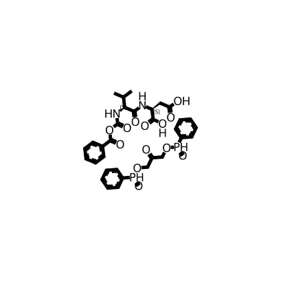 CC(C)[C@H](NC(=O)OC(=O)c1ccccc1)C(=O)N[C@@H](CC(=O)O)C(=O)O.O=C(CO[PH](=O)c1ccccc1)CO[PH](=O)c1ccccc1